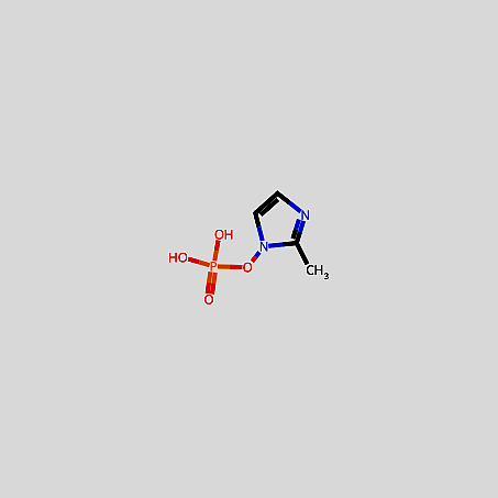 Cc1nccn1OP(=O)(O)O